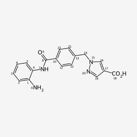 Nc1ccccc1NC(=O)c1ccc(Cn2cc(C(=O)O)cn2)cc1